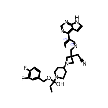 C/C=C(\C=N/CC1(CC#N)CN(C2CCN(C(O)(CC)OCc3ccc(F)c(F)c3)CC2)C1)c1ncnc2[nH]ccc12